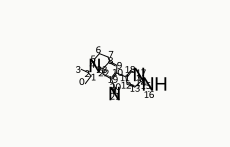 CCC(C)N1CCCc2cc(-c3ccc(NC)nc3)c(C#N)cc21